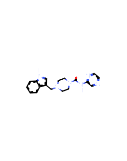 O=C(Nc1cnccn1)N1CCN(Cc2c[nH]c3ccccc23)CC1